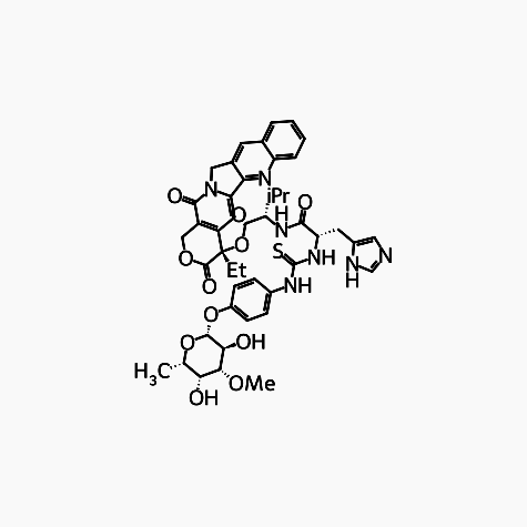 CC[C@@]1(OC(=O)[C@@H](NC(=O)[C@H](Cc2cnc[nH]2)NC(=S)Nc2ccc(O[C@H]3O[C@@H](C)[C@@H](O)[C@@H](OC)[C@@H]3O)cc2)C(C)C)C(=O)OCc2c1cc1n(c2=O)Cc2cc3ccccc3nc2-1